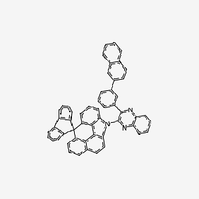 c1cc(-c2ccc3ccccc3c2)cc(-c2nc3ccccc3nc2-n2c3cccc4c3c3c5c(cccc5ccc32)C42c3ccccc3-c3ccccc32)c1